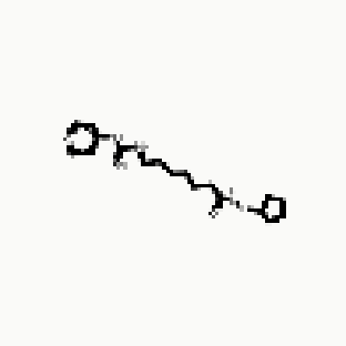 N=C(NCCCCCCC(=O)NOC1CCCC1)Nc1ccncc1